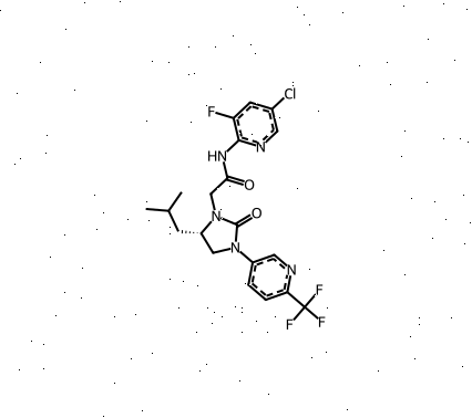 CC(C)C[C@H]1CN(c2ccc(C(F)(F)F)nc2)C(=O)N1CC(=O)Nc1ncc(Cl)cc1F